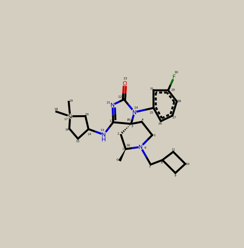 C[C@H]1C[C@]2(CCN1CC1CCC1)C(NC1CC[Si](C)(C)C1)=NC(=O)N2c1cccc(F)c1